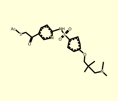 CC(=O)SCC(=O)c1ccc(NS(=O)(=O)c2ccc(OCC(C)(C)CN(C)C)cc2)nc1